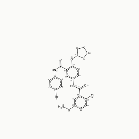 C=C(Nc1ccc(Br)cc1)c1cc(NC(=O)c2cc(CN)ccc2Cl)ccc1OC1CCOC1